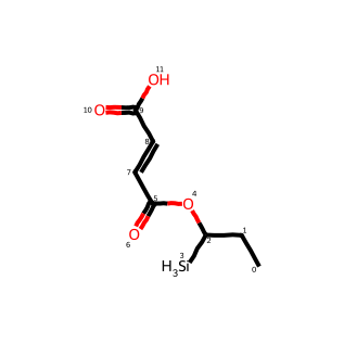 CCC([SiH3])OC(=O)/C=C/C(=O)O